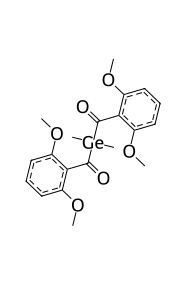 COc1cccc(OC)c1[C](=O)[Ge]([CH3])([CH3])[C](=O)c1c(OC)cccc1OC